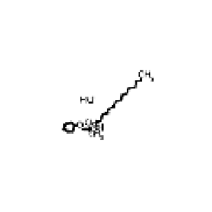 CCCCCCCCCCCCCCCNC(C)(C)COc1ccccc1.Cl